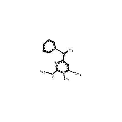 CNc1nc(N(C)c2ccccc2)cc(C)[n+]1C